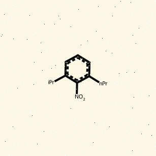 [CH2]C(C)c1cccc(CCC)c1[N+](=O)[O-]